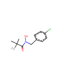 CC(C)(C(=O)N(O)Cc1ccc(Cl)cc1)C(F)(F)F